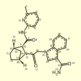 Cc1cccc(NC(=O)[C@@H]2[C@H]3CC[C@H](C3)N2C(=O)Cn2cc(C(N)=O)c3ccccc32)n1